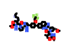 C=C(/C=C\C=C/C)[C@@H](NC(=O)OC)C(=O)N1CCC[C@H]1c1ncc(-c2ccc(-c3ccc4c(ccc5nc([C@@H]6C[C@H](COC)CN6C(=O)[C@@H](NC(=O)OC)C(C)C)[nH]c54)c3)c(OCC(F)(F)F)c2)[nH]1